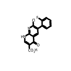 O=C(O)c1c[nH]c2nc(Cl)c(-c3ccccc3F)cc2c1=O